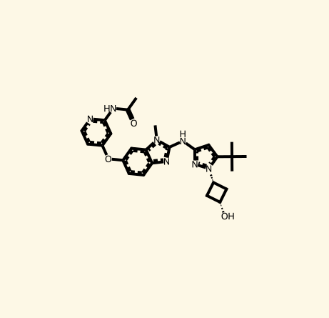 CC(=O)Nc1cc(Oc2ccc3nc(Nc4cc(C(C)(C)C)n([C@H]5C[C@@H](O)C5)n4)n(C)c3c2)ccn1